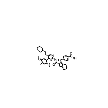 COc1cc(-c2nc(NC(=O)c3cc4ccccc4n3Cc3ccc(C(=O)O)cc3)ncc2CCC2CCCCC2)c(OC)cc1C